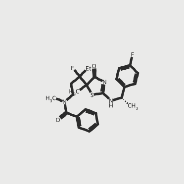 CCC(F)(CCN(C)C(=O)c1ccccc1)C1(C)SC(N[C@@H](C)c2ccc(F)cc2)=NC1=O